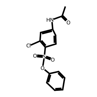 CC(=O)Nc1ccc(S(=O)(=O)Oc2ccccc2)c(Cl)c1